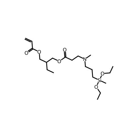 C=CC(=O)OCC(CC)COC(=O)CCN(C)CCC[Si](C)(OCC)OCC